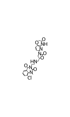 Cn1c(=O)n(CCNCC2CN(c3ccc4c(n3)NC(=O)CO4)C(=O)O2)c(=O)c2cccc(Cl)c21